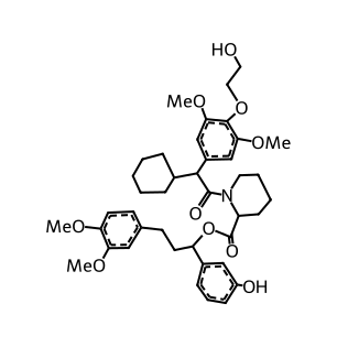 COc1ccc(CCC(OC(=O)C2CCCCN2C(=O)C(c2cc(OC)c(OCCO)c(OC)c2)C2CCCCC2)c2cccc(O)c2)cc1OC